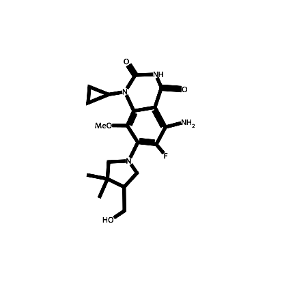 COc1c(N2CC(CO)C(C)(C)C2)c(F)c(N)c2c(=O)[nH]c(=O)n(C3CC3)c12